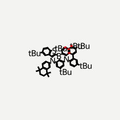 CC(C)(C)c1cc(-c2cc(C(C)(C)C)ccc2N2c3cc(C(C)(C)C)ccc3B3c4sc5ccc(C(C)(C)C)cc5c4N(c4ccc5c(c4)C(C)(C)CCC5(C)C)c4cc(C(C)(C)C)cc2c43)cc(C(C)(C)C)c1